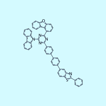 c1ccc(-c2nc3cc(-c4ccc(-c5ccc(-c6nc(-c7cccc8oc9ccccc9c78)nc(-n7c8ccccc8c8ccccc87)n6)cc5)cc4)ccc3s2)cc1